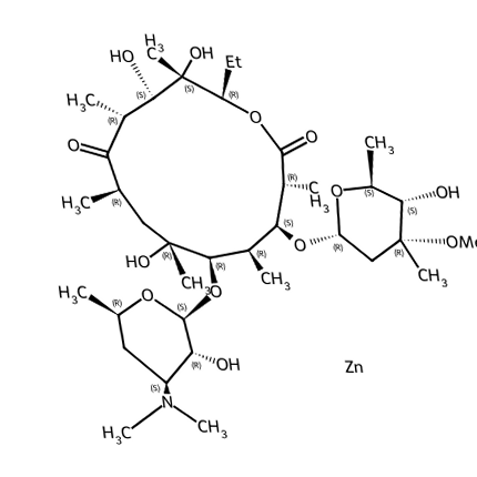 CC[C@H]1OC(=O)[C@H](C)[C@@H](O[C@H]2C[C@@](C)(OC)[C@@H](O)[C@H](C)O2)[C@@H](C)[C@@H](O[C@@H]2O[C@H](C)C[C@H](N(C)C)[C@H]2O)[C@](C)(O)C[C@@H](C)C(=O)[C@H](C)[C@H](O)[C@]1(C)O.[Zn]